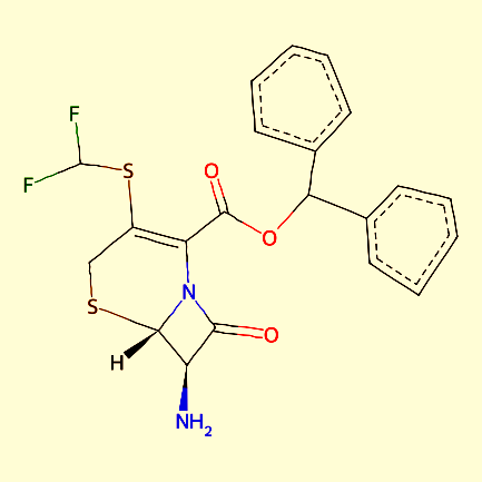 N[C@@H]1C(=O)N2C(C(=O)OC(c3ccccc3)c3ccccc3)=C(SC(F)F)CS[C@@H]12